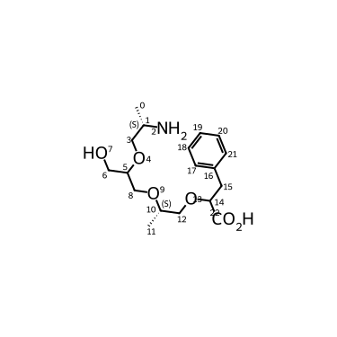 C[C@H](N)COC(CO)CO[C@@H](C)COC(Cc1ccccc1)C(=O)O